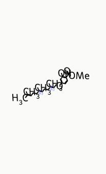 COC(=O)c1ccc(OC/C=C(\C)CC/C=C(\C)CCC=C(C)C)cc1O